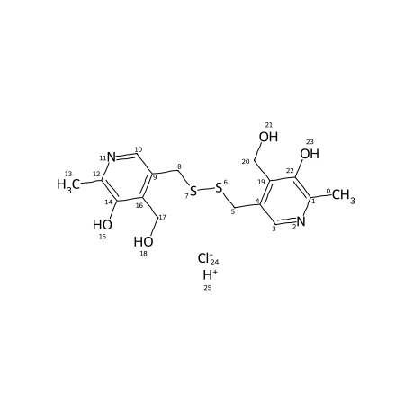 Cc1ncc(CSSCc2cnc(C)c(O)c2CO)c(CO)c1O.[Cl-].[H+]